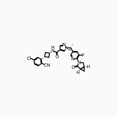 C[C@H](c1cnc(N2C[C@H]3C[C@H]3C2=O)c(F)c1)n1cc(C(=O)N[C@H]2C[C@@H](c3cc(Cl)ccc3C#N)C2)cn1